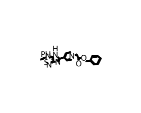 CC1(P)N=c2[nH]c(-c3cc[n+](CC(=O)OCc4ccccc4)cc3)nc2=NS1